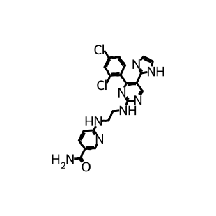 NC(=O)c1ccc(NCCNc2ncc(-c3ncc[nH]3)c(-c3ccc(Cl)cc3Cl)n2)nc1